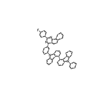 Fc1ccc(-c2nc(-c3cccc(-n4c5ccccc5c5c(-c6cccc7c6c6ccccc6n7-c6ccccc6)cccc54)c3)c3ccc4ccccc4c3n2)cc1